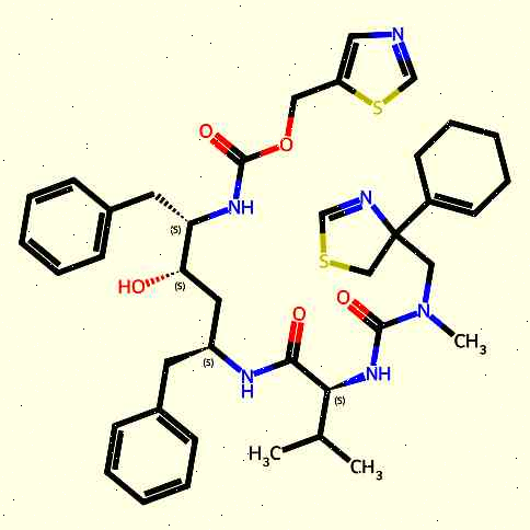 CC(C)[C@H](NC(=O)N(C)CC1(C2=CCCCC2)CSC=N1)C(=O)N[C@@H](Cc1ccccc1)C[C@H](O)[C@H](Cc1ccccc1)NC(=O)OCc1cncs1